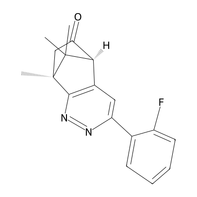 CC1(C)[C@H]2C(=O)C[C@]1(C)c1nnc(-c3ccccc3F)cc12